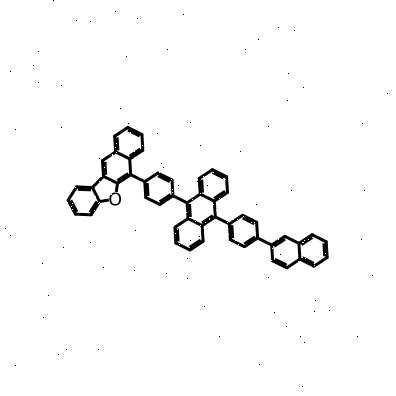 c1ccc2cc(-c3ccc(-c4c5ccccc5c(-c5ccc(-c6c7ccccc7cc7c6oc6ccccc67)cc5)c5ccccc45)cc3)ccc2c1